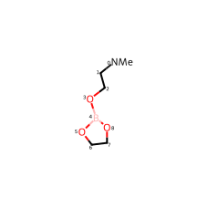 CNCCOB1OCCO1